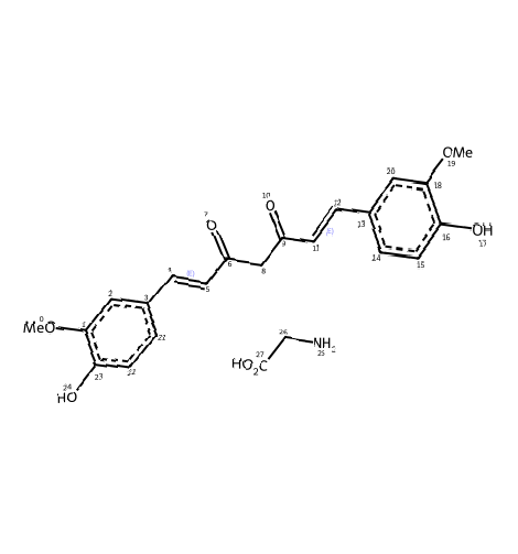 COc1cc(/C=C/C(=O)CC(=O)/C=C/c2ccc(O)c(OC)c2)ccc1O.NCC(=O)O